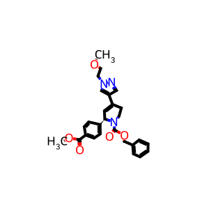 COCCn1cc(C2=C[C@@H](c3ccc(C(=O)OC)cc3)N(C(=O)OCc3ccccc3)CC2)cn1